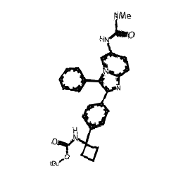 CNC(=O)Nc1ccc2nc(-c3ccc(C4(NC(=O)OC(C)(C)C)CCC4)cc3)c(-c3ccccc3)n2c1